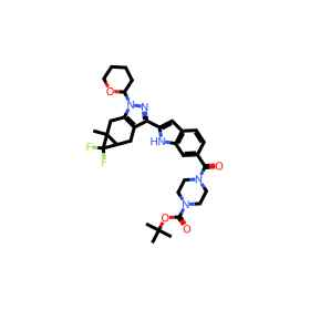 CC(C)(C)OC(=O)N1CCN(C(=O)c2ccc3cc(-c4nn(C5CCCCO5)c5c4CC4C(F)(F)C4(C)C5)[nH]c3c2)CC1